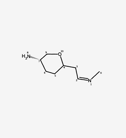 C/N=C\CC1CC[C@H](N)CO1